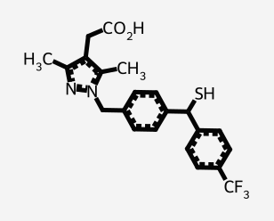 Cc1nn(Cc2ccc(C(S)c3ccc(C(F)(F)F)cc3)cc2)c(C)c1CC(=O)O